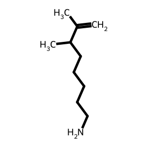 C=C(C)C(C)CCCCCN